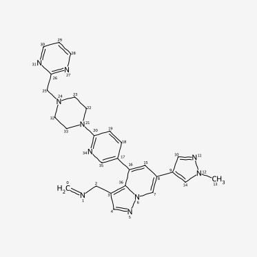 C=NCc1cnn2cc(-c3cnn(C)c3)cc(-c3ccc(N4CCN(Cc5ncccn5)CC4)nc3)c12